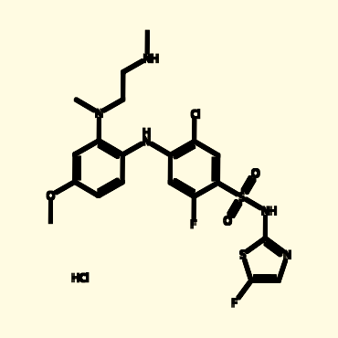 CNCCN(C)c1cc(OC)ccc1Nc1cc(F)c(S(=O)(=O)Nc2ncc(F)s2)cc1Cl.Cl